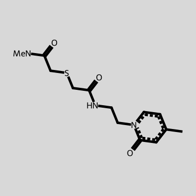 CNC(=O)CSCC(=O)NCCn1ccc(C)cc1=O